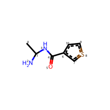 CC(N)NC(=O)c1[c]scc1